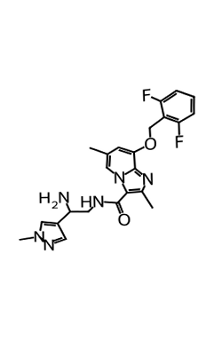 Cc1cc(OCc2c(F)cccc2F)c2nc(C)c(C(=O)NCC(N)c3cnn(C)c3)n2c1